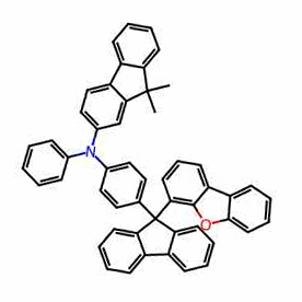 CC1(C)c2ccccc2-c2ccc(N(c3ccccc3)c3ccc(C4(c5cccc6c5oc5ccccc56)c5ccccc5-c5ccccc54)cc3)cc21